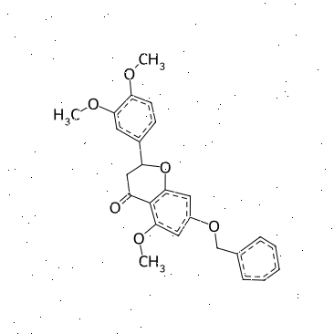 COc1ccc(C2CC(=O)c3c(OC)cc(OCc4ccccc4)cc3O2)cc1OC